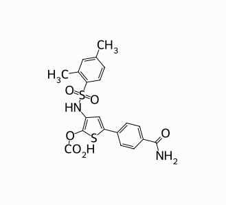 Cc1ccc(S(=O)(=O)Nc2cc(-c3ccc(C(N)=O)cc3)sc2OC(=O)O)c(C)c1